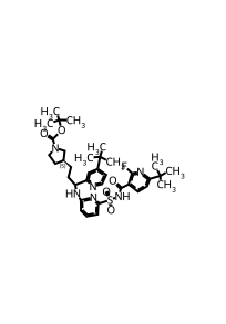 CC(C)(C)OC(=O)N1CC[C@H](CCC(Nc2cccc(S(=O)(=O)NC(=O)c3ccc(C(C)(C)C)nc3F)n2)c2cc(C(C)(C)C)ccn2)C1